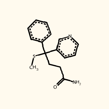 CSC(CCC(N)=O)(c1ccccc1)c1cccnc1